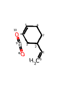 C=CC1CC=CCC1.[O]=[Ti]=[O]